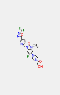 Cn1c(=O)n(Cc2ccc(-c3nnc(C(F)F)o3)cn2)c2cc(F)c(N3CCN(C(=O)CO)CC3)cc21